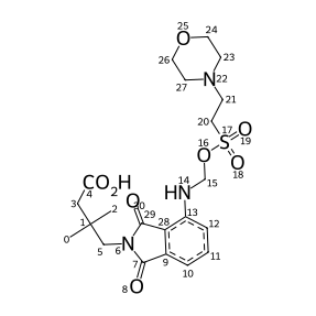 CC(C)(CC(=O)O)CN1C(=O)c2cccc(NCOS(=O)(=O)CCN3CCOCC3)c2C1=O